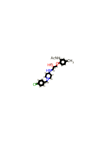 CC(=O)Nc1cc(C)ccc1OCC(O)CNC1CCN(Cc2ccc(Cl)cc2)CC1